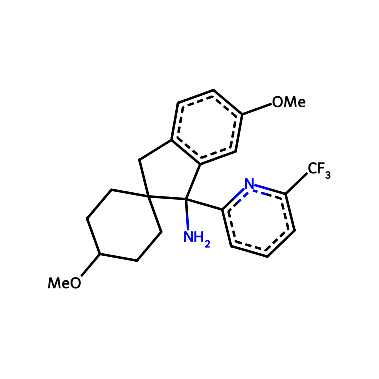 COc1ccc2c(c1)C(N)(c1cccc(C(F)(F)F)n1)C1(CCC(OC)CC1)C2